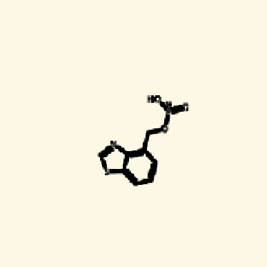 O=[PH](O)OCc1cccc2scnc12